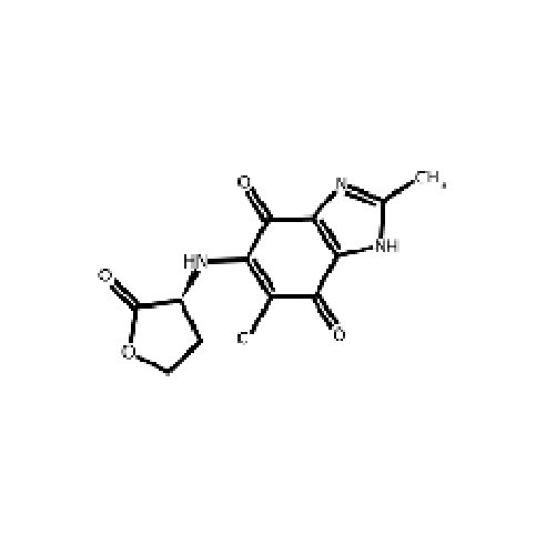 Cc1nc2c([nH]1)C(=O)C(Cl)=C(N[C@H]1CCOC1=O)C2=O